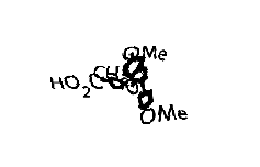 C=C(C(=O)O)c1ccc(Oc2c(-c3ccc(OC)cc3)ccc3cc(OC)ccc23)cc1